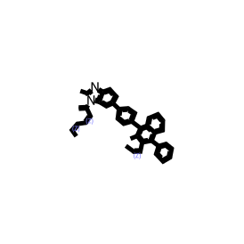 C=C(/C=C\C=C/C)n1c(C)nc2ccc(-c3ccc(-c4c(C)c(/C=C\C)c(-c5ccccc5)c5ccccc45)cc3)cc21